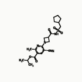 Cc1nc(N2CC(C(=O)NS(=O)(=O)CC3CCCC3)C2)c(C#N)cc1C(=O)OC(C)C